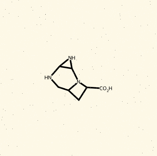 O=C(O)C1CC2CNC3NC3N21